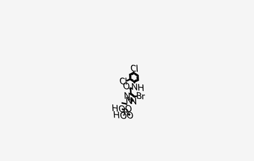 CC(OP(=O)(O)O)n1nc(Br)c(C(=O)Nc2ccc(Cl)cc2Cl)n1